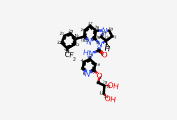 O=C(Nc1ccnc(OC[C@@H](O)CO)c1)N1c2nc(-c3cccc(C(F)(F)F)c3)ccc2N2CC[C@H]1C2